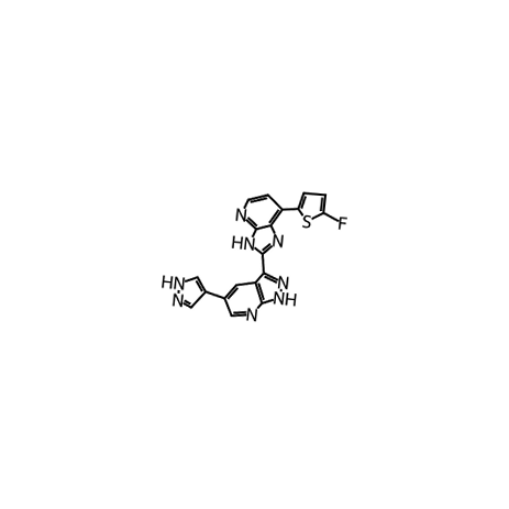 Fc1ccc(-c2ccnc3[nH]c(-c4n[nH]c5ncc(-c6cn[nH]c6)cc45)nc23)s1